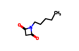 CCCCCN1C(=O)CC1=O